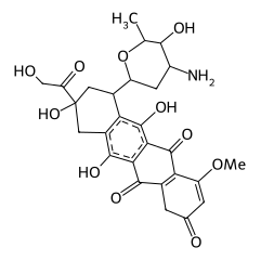 COC1=CC(=O)CC2=C1C(=O)c1c(O)c3c(c(O)c1C2=O)CC(O)(C(=O)CO)CC3C1CC(N)C(O)C(C)O1